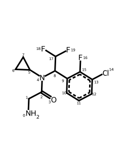 NCC(=O)N(C1CC1)C(c1cccc(Cl)c1F)C(F)F